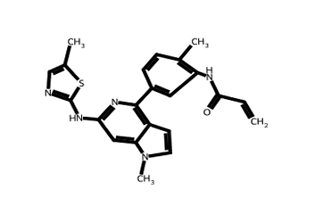 C=CC(=O)Nc1cc(-c2nc(Nc3ncc(C)s3)cc3c2ccn3C)ccc1C